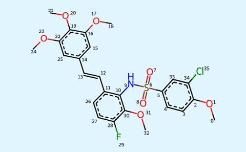 COc1ccc(S(=O)(=O)Nc2c(C=Cc3cc(OC)c(OC)c(OC)c3)ccc(F)c2OC)cc1Cl